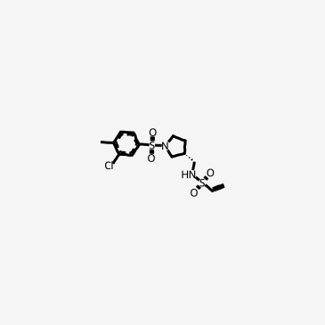 C=CS(=O)(=O)NC[C@H]1CCN(S(=O)(=O)c2ccc(C)c(Cl)c2)C1